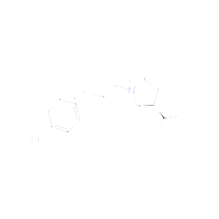 CC(C)(C)c1ccc(OCCN2CC[C@@H](C(F)F)C2)cc1